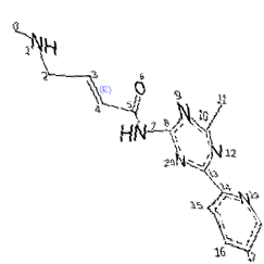 CNC/C=C/C(=O)Nc1nc(C)nc(-c2ccccn2)n1